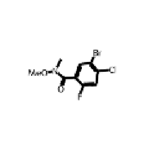 CON(C)C(=O)c1cc(Br)c(Cl)cc1F